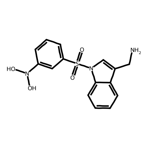 NCc1cn(S(=O)(=O)c2cccc(N(O)O)c2)c2ccccc12